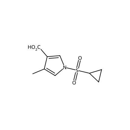 Cc1cn(S(=O)(=O)C2CC2)cc1C(=O)O